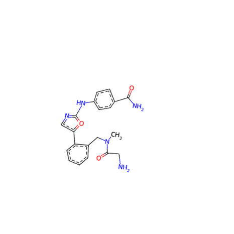 CN(Cc1ccccc1-c1cnc(Nc2ccc(C(N)=O)cc2)o1)C(=O)CN